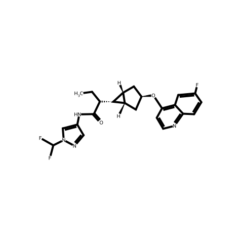 CCC(C(=O)Nc1cnn(C(F)F)c1)[C@@H]1[C@@H]2C[C@@H](Oc3ccnc4ccc(F)cc34)C[C@@H]21